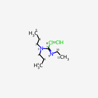 CCCN(CCC)C(Cl)=NCC.Cl